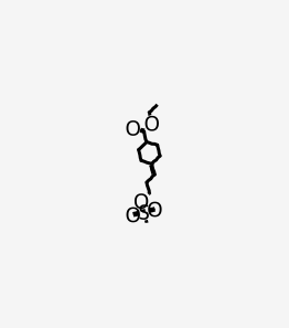 CCOC(=O)C1CCC(=CCCOS(C)(=O)=O)CC1